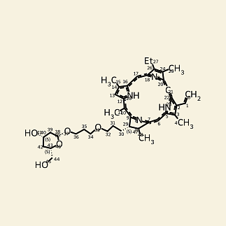 C=Cc1c(C)c2cc3nc(c(C)c4cc(C)c(cc5nc(cc1[nH]2)C(C)=C5CC)[nH]4)[C@@H](CCCOCCCO[C@H]1C[C@@H](O)C[C@@H](CO)O1)[C@@H]3C